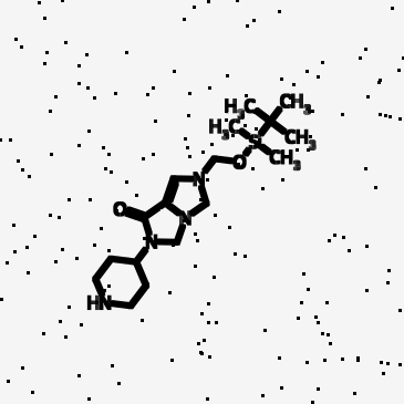 CC(C)(C)[Si](C)(C)OCN1C=C2C(=O)N(C3CCNCC3)CN2C1